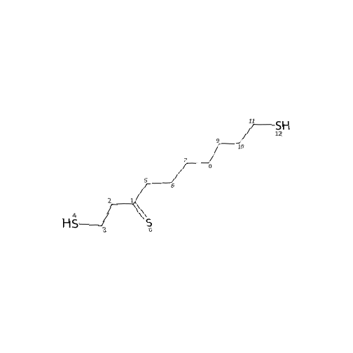 S=C(CCS)CCCCCCCS